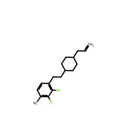 C=CCC1CCC(CCc2ccc(C#N)c(F)c2F)CC1